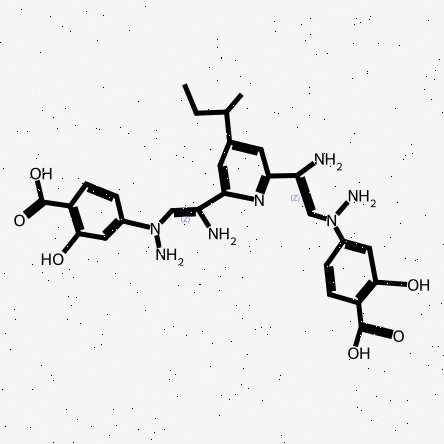 CCC(C)c1cc(/C(N)=C/N(N)c2ccc(C(=O)O)c(O)c2)nc(/C(N)=C/N(N)c2ccc(C(=O)O)c(O)c2)c1